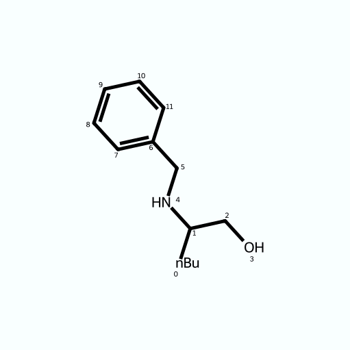 CCCCC(CO)NCc1ccccc1